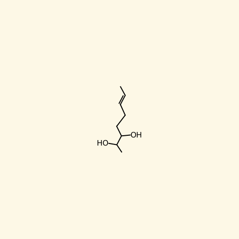 CC=CCCC(O)C(C)O